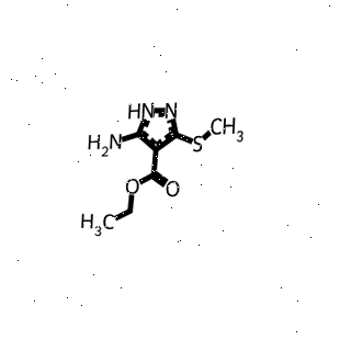 CCOC(=O)c1c(SC)n[nH]c1N